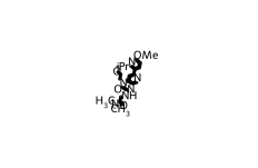 COc1ccc(-c2cc3c(cn2)nc(NCC(=O)N(C)C)c(=O)n3CCOC(C)C)cn1